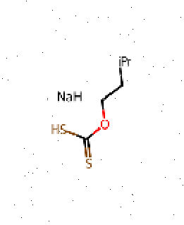 CC(C)CCOC(=S)S.[NaH]